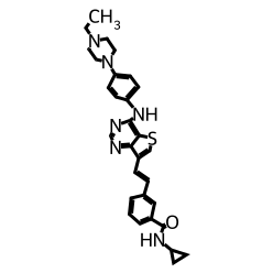 CCN1CCN(c2ccc(Nc3ncnc4c(C=Cc5cccc(C(=O)NC6CC6)c5)csc34)cc2)CC1